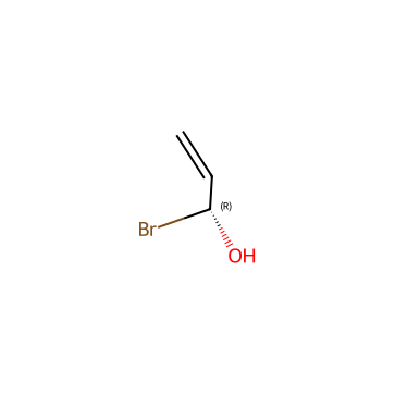 C=C[C@H](O)Br